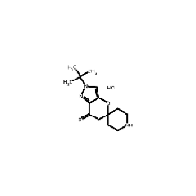 CC(C)(C)n1cc2c(n1)C(=O)CC1(CCNCC1)O2.Cl